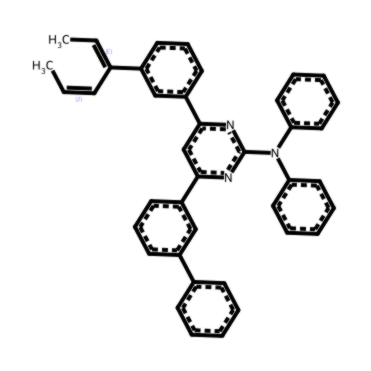 C/C=C\C(=C/C)c1cccc(-c2cc(-c3cccc(-c4ccccc4)c3)nc(N(c3ccccc3)c3ccccc3)n2)c1